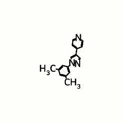 Cc1cc(C)cc(-n2cc(-c3ccncc3)cn2)c1